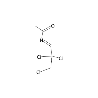 CC(=O)N=CC(Cl)(Cl)CCl